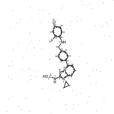 C1CC1.O=C(O)Nc1nc2cccc(-c3ccc(CNc4ccc(Cl)cc4F)cc3)n2n1